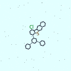 Clc1ccc(-c2cc(-c3ccccc3)cc(-c3ccccc3)c2)c2sc3cc4ccccc4cc3c12